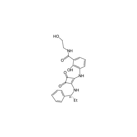 CC[C@@H](Nc1c(Nc2cccc(C(=O)NCCO)c2O)c(=O)c1=O)c1ccccc1